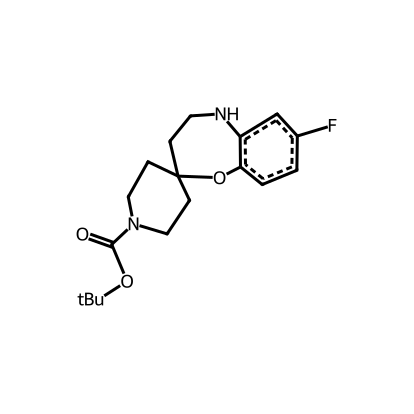 CC(C)(C)OC(=O)N1CCC2(CCNc3cc(F)ccc3O2)CC1